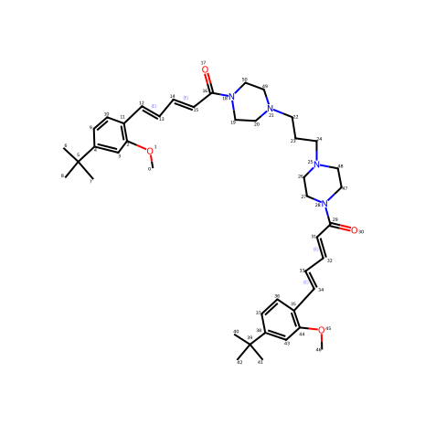 COc1cc(C(C)(C)C)ccc1/C=C/C=C/C(=O)N1CCN(CCCN2CCN(C(=O)/C=C/C=C/c3ccc(C(C)(C)C)cc3OC)CC2)CC1